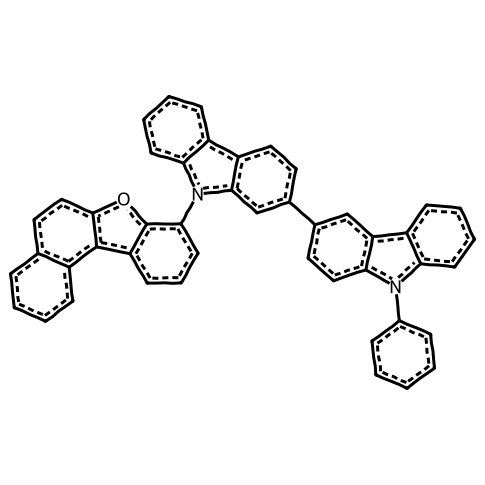 c1ccc(-n2c3ccccc3c3cc(-c4ccc5c6ccccc6n(-c6cccc7c6oc6ccc8ccccc8c67)c5c4)ccc32)cc1